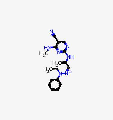 C=C(/C=N\N(CC)c1ccccc1)Nc1ncc(C#N)c(NC)n1